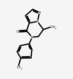 CC1CN(c2ccc(C(F)(F)F)cc2)C(=O)c2ccnn21